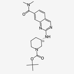 CN(C)C(=O)c1ccc2cnc(N[C@H]3CCCN(C(=O)OC(C)(C)C)C3)nc2c1